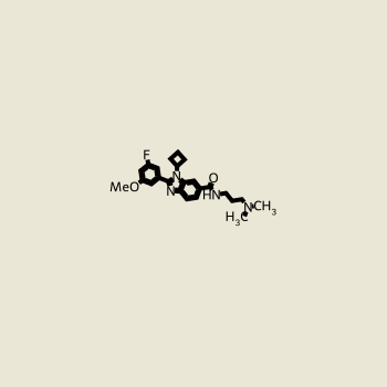 COc1cc(F)cc(-c2nc3ccc(C(=O)NCCCN(C)C)cc3n2C2CCC2)c1